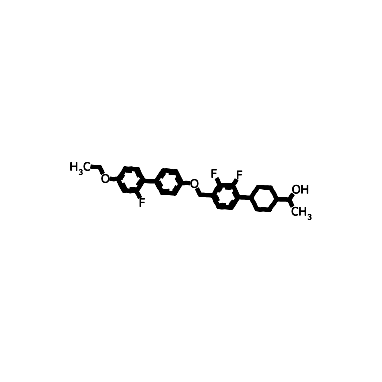 CCOc1ccc(-c2ccc(OCc3ccc(C4CCC(C(C)O)CC4)c(F)c3F)cc2)c(F)c1